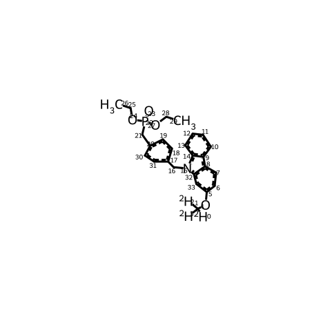 [2H]C([2H])([2H])Oc1ccc2c3ccccc3n(Cc3ccc(CP(=O)(OCC)OCC)cc3)c2c1